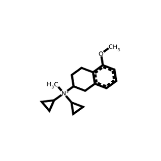 COc1cccc2c1CCC([N+](C)(C1CC1)C1CC1)C2